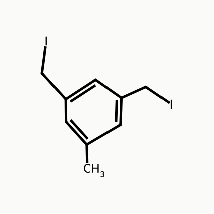 Cc1cc(CI)cc(CI)c1